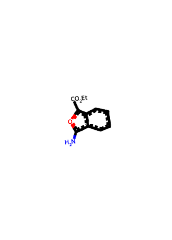 CCOC(=O)c1oc(N)c2ccccc12